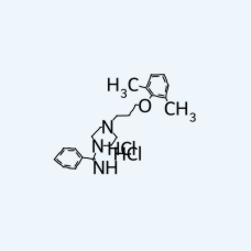 Cc1cccc(C)c1OCCCN1CCN(C(=N)c2ccccc2)CC1.Cl.Cl